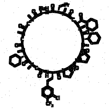 CC[C@H](C)[C@@H]1NC(=O)[C@H](CC(C)C)N(C)C(=O)C[C@@H](C(=O)N2CCCCC2)N(C)C(=O)[C@H](C2CCCCC2)N(C)C(=O)C2(CCCC2)NC(=O)[C@@H]2CCCN2C(=O)[C@H](CCc2ccc(C(F)(F)F)c(Cl)c2)NC(=O)CN(C)C(=O)[C@H](C2CCCCC2)N(C)C(=O)CN(C)C(=O)CN(C)C1=O